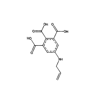 C=CCNc1cc(C(=O)O)c(C(=O)O)c(C(=O)O)c1